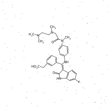 CN(C)CCN(C)CC(=O)N(C)c1ccc(NC(=C2C(=O)Nc3cc(F)ccc32)c2cccc(CC(=O)O)c2)cc1